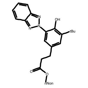 CCCCCCCCCOC(=O)CCc1cc(-n2nc3ccccc3n2)c(O)c(C(C)(C)C)c1